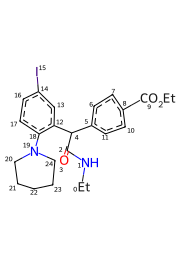 CCNC(=O)C(c1ccc(C(=O)OCC)cc1)c1cc(I)ccc1N1CCCCC1